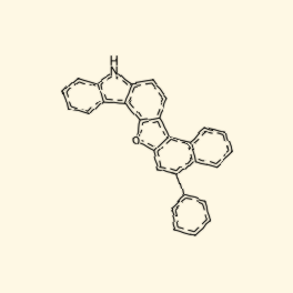 c1ccc(-c2cc3oc4c(ccc5[nH]c6ccccc6c54)c3c3ccccc23)cc1